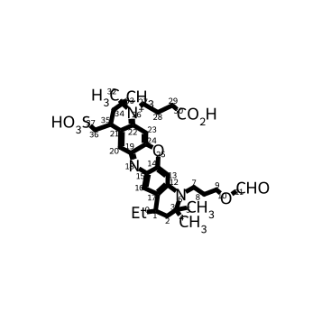 CCC1CC(C)(C)N(CCCOC=O)c2cc3c(cc21)N=c1cc2c(cc1O3)=[N+](CCCC(=O)O)C(C)(C)CC2CS(=O)(=O)O